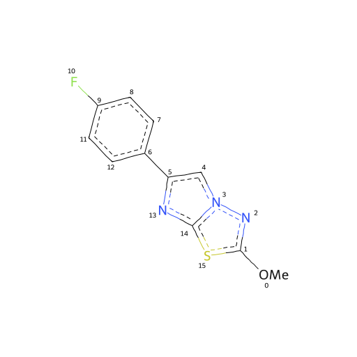 COc1nn2cc(-c3ccc(F)cc3)nc2s1